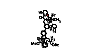 CCn1c(-c2cccnc2[C@H](C)OC)c(CC(C)(C)COC(C)=O)c2cc(-c3cc(O)cc(C[C@H](NC(=O)[C@H](C(C)C)N(C)C(=O)[C@@H]4CCNC4)C(=O)N4CCCCN4)c3)ccc21